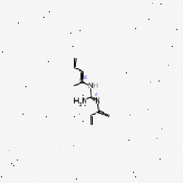 C=C/C=C(\C)N/C(N)=N/C(=C)C=C